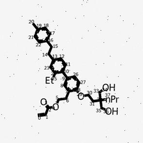 C=CC(=O)OCCc1cc(-c2ccc(CCc3ccc(C)cc3)cc2CC)ccc1OCCC(CO)(CO)CCC